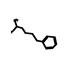 CCCC(F)CCCCc1ccccc1